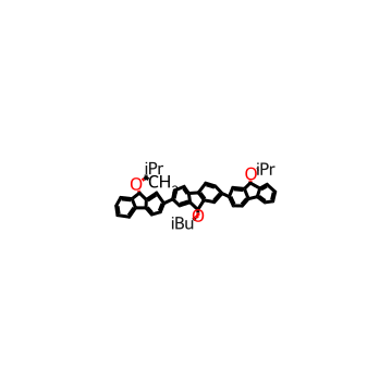 CCC(C)OC1c2cc(-c3ccc4c(c3)C(OC(C)C)c3ccccc3-4)ccc2-c2ccc(-c3ccc4c(c3)C(OC(C)C(C)C)c3ccccc3-4)cc21